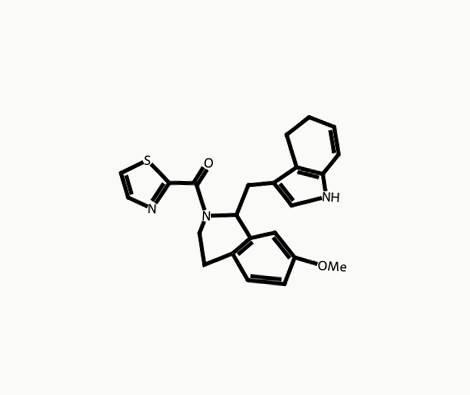 COc1ccc2c(c1)C(Cc1c[nH]c3c1CCC=C3)N(C(=O)c1nccs1)CC2